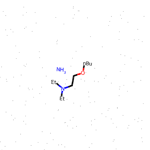 CCCCOCCN(CC)CC.N